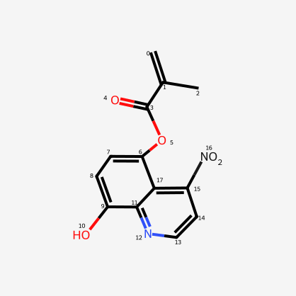 C=C(C)C(=O)Oc1ccc(O)c2nccc([N+](=O)[O-])c12